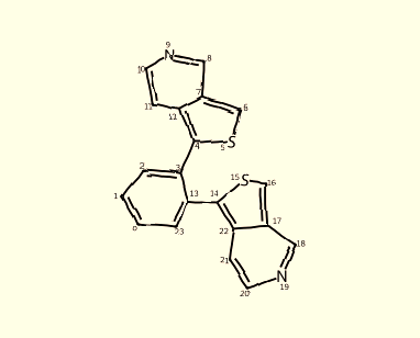 c1ccc(-c2scc3cnccc23)c(-c2scc3cnccc23)c1